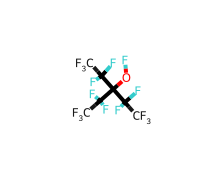 FOC(C(F)(F)C(F)(F)F)(C(F)(F)C(F)(F)F)C(F)(F)C(F)(F)F